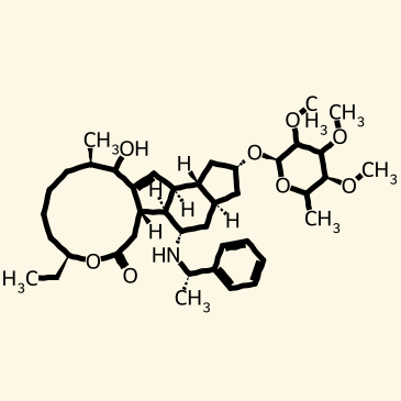 CC[C@H]1CCCC[C@@H](C)C(O)C2=C[C@H]3[C@@H]4C[C@H](O[C@@H]5OC(C)[C@H](OC)C(OC)C5OC)C[C@H]4C[C@H](N[C@@H](C)c4ccccc4)[C@H]3[C@@H]2CC(=O)O1